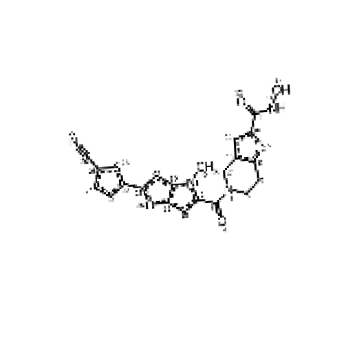 Cn1c(C(=O)N2CCc3sc(C(=O)NO)cc3C2)cc2oc(-c3ccc(C#N)s3)cc21